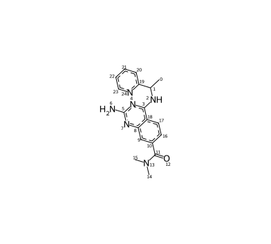 CC(Nc1nc(N)nc2cc(C(=O)N(C)C)ccc12)c1ccccn1